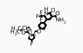 CC(C)(C)OC(=O)N1CC(F)C[C@@H]1COc1ccc(-c2cc(C(N)=O)c(=O)[nH]c2C(F)(F)F)cc1